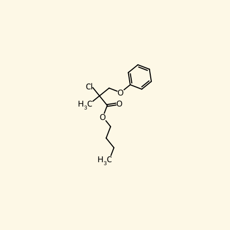 CCCCOC(=O)C(C)(Cl)COc1ccccc1